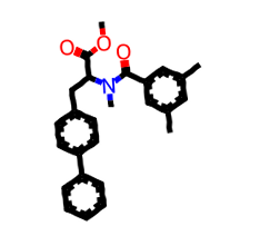 COC(=O)C(Cc1ccc(-c2ccccc2)cc1)N(C)C(=O)c1cc(C)cc(C)c1